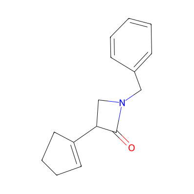 O=C1C(C2=CCCC2)CN1Cc1ccccc1